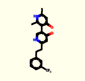 Cc1cc(=O)c(-c2c[nH]c(CCc3cccc(C(F)(F)F)c3)cc2=O)c(C)[nH]1